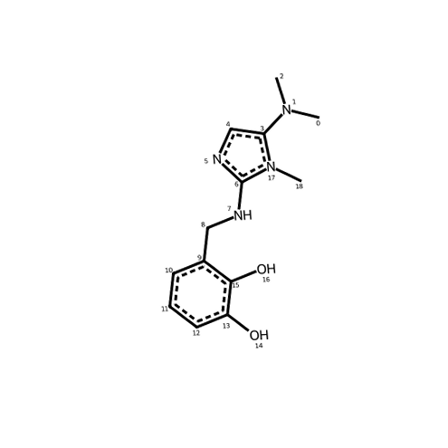 CN(C)c1cnc(NCc2cccc(O)c2O)n1C